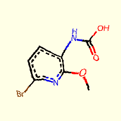 COc1nc(Br)ccc1NC(=O)O